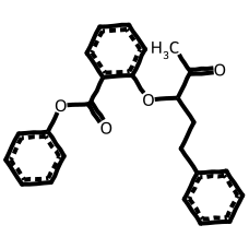 CC(=O)C(CCc1ccccc1)Oc1ccccc1C(=O)Oc1ccccc1